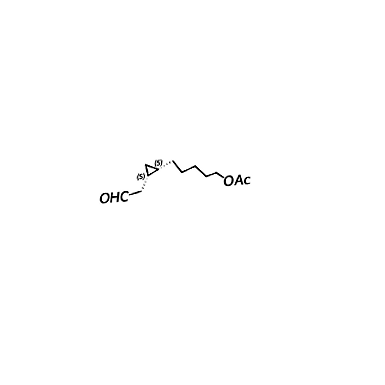 CC(=O)OCCCCC[C@H]1C[C@H]1CC=O